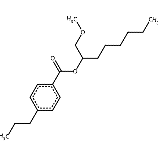 CCCCCCC(COC)OC(=O)c1ccc(CCC)cc1